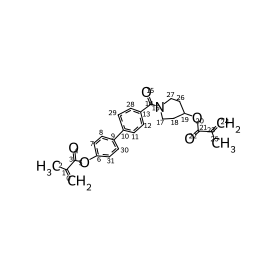 C=C(C)C(=O)Oc1ccc(-c2ccc(C(=O)N3CCC(OC(=O)C(=C)C)CC3)cc2)cc1